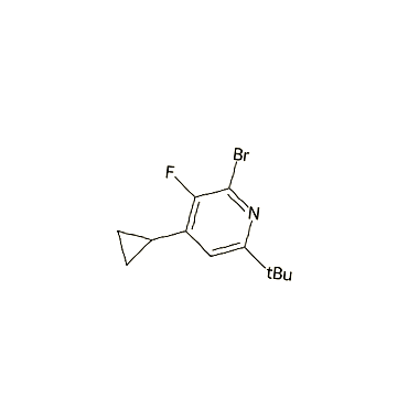 CC(C)(C)c1cc(C2CC2)c(F)c(Br)n1